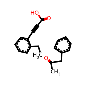 CC(=O)Cc1ccccc1.CCc1ccccc1C#CC(=O)O